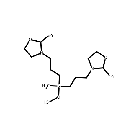 CC(C)C1OCCN1CCC[Si](C)(CCCN1CCOC1C(C)C)O[SiH3]